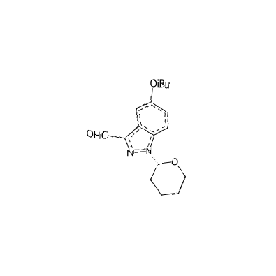 CC(C)COc1ccc2c(c1)c(C=O)nn2[C@H]1CCCCO1